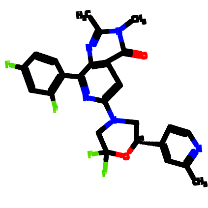 Cc1cc([C@H]2CN(c3cc4c(=O)n(C)c(C)nc4c(-c4ccc(F)cc4F)n3)CC(F)(F)O2)ccn1